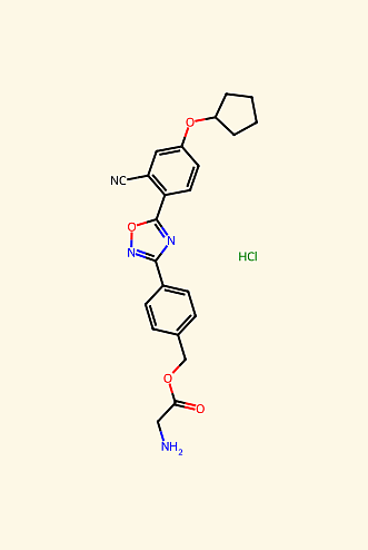 Cl.N#Cc1cc(OC2CCCC2)ccc1-c1nc(-c2ccc(COC(=O)CN)cc2)no1